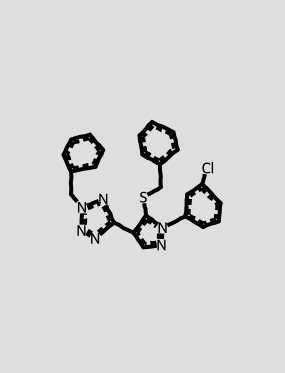 Clc1cccc(-n2ncc(-c3nnn(Cc4ccccc4)n3)c2SCc2ccccc2)c1